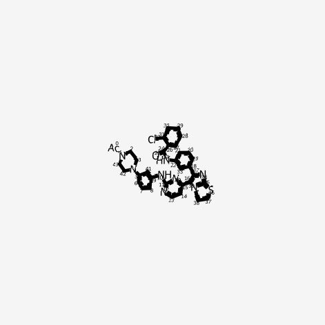 CC(=O)N1CCN(c2cccc(Nc3nccc(-c4c(-c5cccc(NC(=O)c6ccccc6Cl)c5)nc5sccn45)n3)c2)CC1